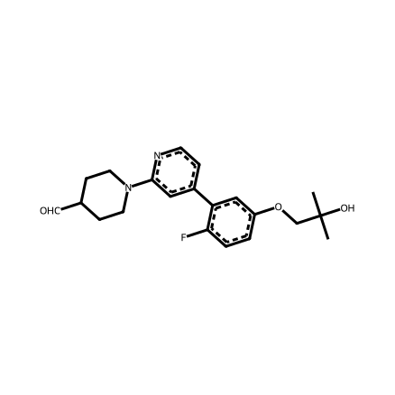 CC(C)(O)COc1ccc(F)c(-c2ccnc(N3CCC(C=O)CC3)c2)c1